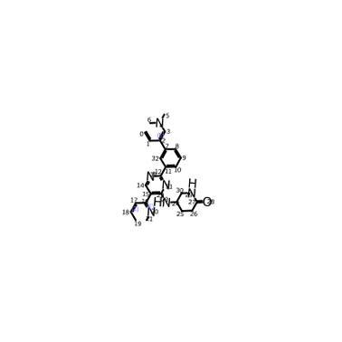 C=C/C(=C\N(C)C)c1cccc(-c2ncc(C(/C=C\C)=N/C)c(NC3CCC(=O)NC3)n2)c1